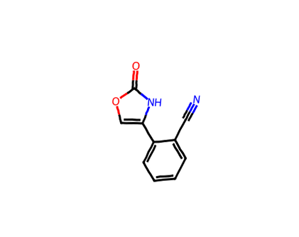 N#Cc1ccccc1-c1coc(=O)[nH]1